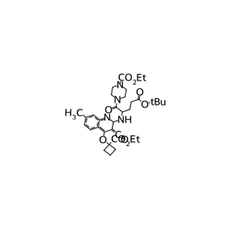 CCOC(=O)N1CCN(C(=O)C(CCC(=O)OC(C)(C)C)NC2N=c3cc(C)ccc3=C(OC3(C(=O)OCC)CCC3)C2=C=O)CC1